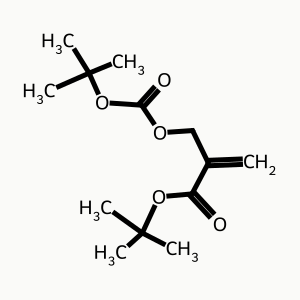 C=C(COC(=O)OC(C)(C)C)C(=O)OC(C)(C)C